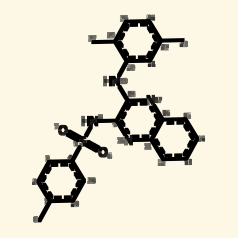 Cc1ccc(S(=O)(=O)Nc2nc3ccccc3nc2Nc2cc(C)ccc2C)cc1